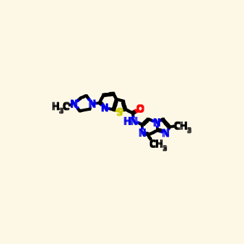 Cc1cn2cc(NC(=O)c3cc4ccc(N5CCN(C)CC5)nc4s3)nc(C)c2n1